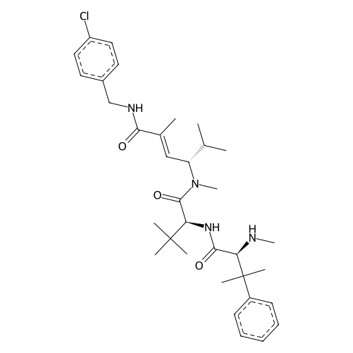 CN[C@H](C(=O)N[C@H](C(=O)N(C)[C@H](/C=C(\C)C(=O)NCc1ccc(Cl)cc1)C(C)C)C(C)(C)C)C(C)(C)c1ccccc1